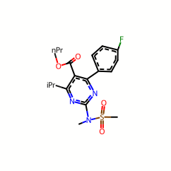 CCCOC(=O)c1c(-c2ccc(F)cc2)nc(N(C)S(C)(=O)=O)nc1C(C)C